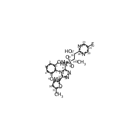 COc1cccc(OC)c1-n1c(NS(=O)(=O)[C@@H](C)[C@H](O)c2ncc(F)cn2)nnc1-c1ccc(C)o1